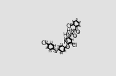 O=C(NC(=O)c1ccccc1Cl)Nc1cnc(Oc2ccc(Sc3ccc(Cl)cc3)cc2)c(Cl)c1